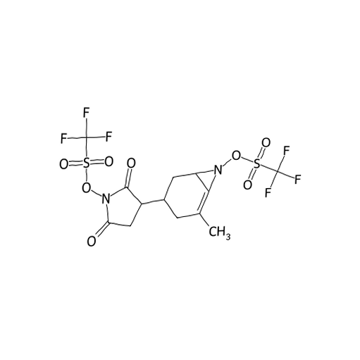 CC1=C2C(CC(C3CC(=O)N(OS(=O)(=O)C(F)(F)F)C3=O)C1)N2OS(=O)(=O)C(F)(F)F